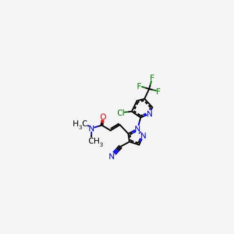 CN(C)C(=O)C=Cc1c(C#N)cnn1-c1ncc(C(F)(F)F)cc1Cl